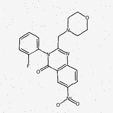 O=c1c2cc([N+](=O)[O-])ccc2nc(CN2CCOCC2)n1-c1ccccc1F